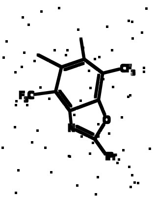 Cc1c(C)c(C(F)(F)F)c2oc(C(C)C)nc2c1C(F)(F)F